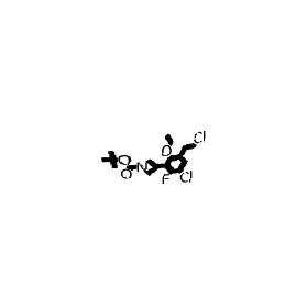 CCOc1c(CCCl)cc(Cl)c(F)c1C1CN(C(=O)OC(C)(C)C)C1